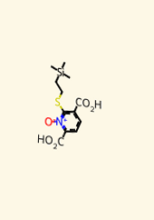 C[Si](C)(C)CCSc1c(C(=O)O)ccc(C(=O)O)[n+]1[O-]